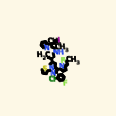 C=C[C@@H](CCNC(C)CC(C)(CCI)c1ccccn1)C1CC2=C(C3=N/C(=C\C(C)F)C=C3)[C@H](c3ccc(F)cc3Cl)N=C(C3CC=CS3)N2C1